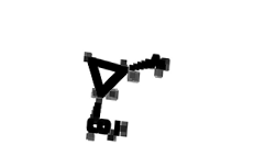 CC(=O)[C@H]1C[C@H]1C(=O)O